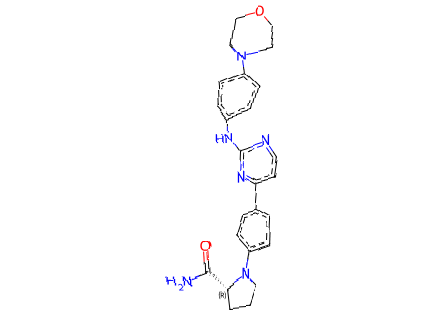 NC(=O)[C@H]1CCCN1c1ccc(-c2ccnc(Nc3ccc(N4CCOCC4)cc3)n2)cc1